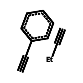 C#CCC.C#Cc1ccccc1